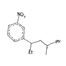 CCC(CC(C)C(C)C)c1cccc([N+](=O)[O-])c1